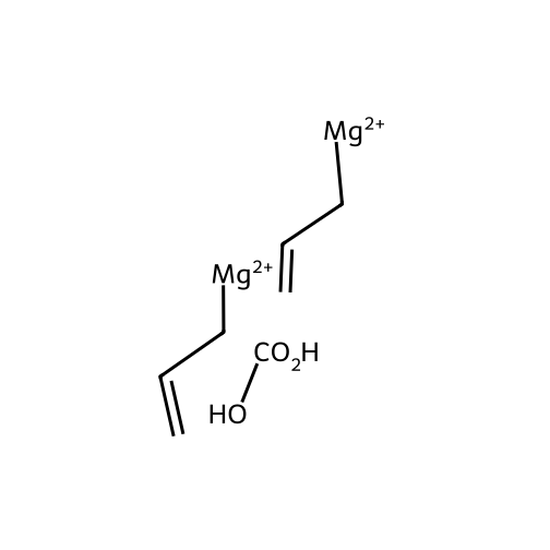 C=C[CH2][Mg+2].C=C[CH2][Mg+2].O=C(O)O